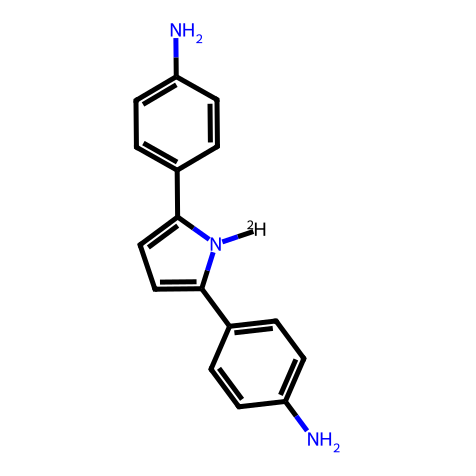 [2H]n1c(-c2ccc(N)cc2)ccc1-c1ccc(N)cc1